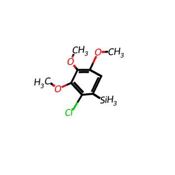 COc1cc([SiH3])c(Cl)c(OC)c1OC